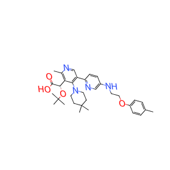 Cc1ccc(OCCNc2ccc(-c3cnc(C)c([C@H](OC(C)(C)C)C(=O)O)c3N3CCC(C)(C)CC3)nc2)cc1